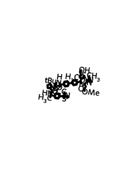 COC(=O)CC1N=C(c2ccc(-c3ccc(C(=O)NC(C(=O)N4CCCC4C(=O)NC(C)c4ccc(-c5scnc5C)cc4)C(C)(C)C)cc3)cc2)c2c(sc(CO)c2C)-n2c(C)nnc21